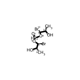 C[C@@H](O)[C@H](Br)O[PH](=O)O[C@@H](Br)[C@@H](C)O